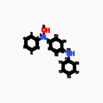 ON(c1ccccc1)c1ccc(Nc2ccccc2)cc1